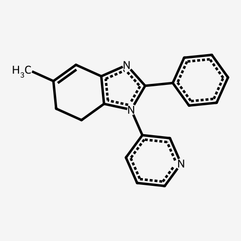 CC1=Cc2nc(-c3ccccc3)n(-c3cccnc3)c2CC1